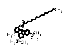 CCCCCCCCCCCCCCCC(=O)C1=Nc2ccc(C)cc2C(c2ccc(N(C)C)cc2)(c2ccc(N(C)C)cc2)S1